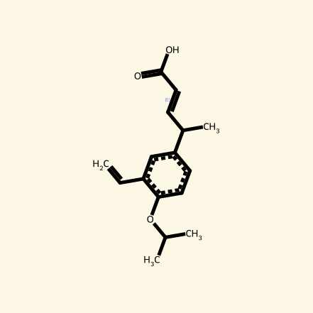 C=Cc1cc(C(C)/C=C/C(=O)O)ccc1OC(C)C